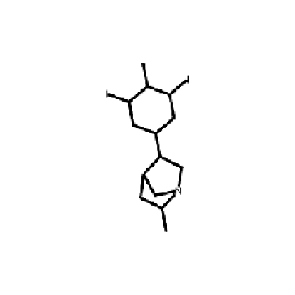 CC1C(I)CC(C2CN3CC2CC3C)CC1I